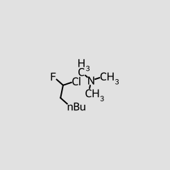 CCCCCC(F)Cl.CN(C)C